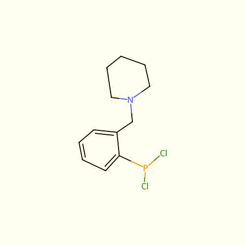 ClP(Cl)c1ccccc1CN1CCCCC1